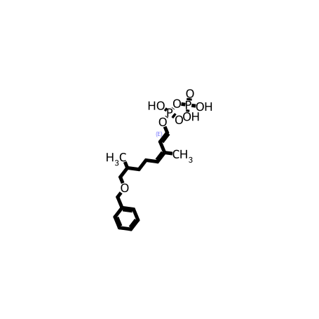 CC(=CCCC(C)COCc1ccccc1)/C=C/OP(=O)(O)OP(=O)(O)O